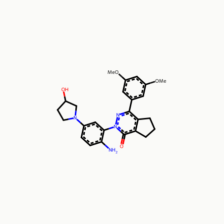 COc1cc(OC)cc(-c2nn(-c3cc(N4CCC(O)C4)ccc3N)c(=O)c3c2CCC3)c1